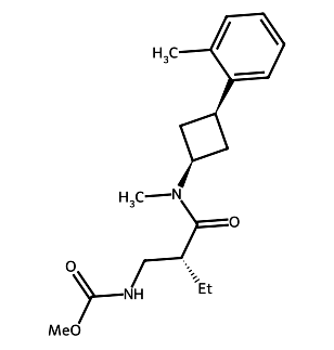 CC[C@H](CNC(=O)OC)C(=O)N(C)[C@H]1C[C@@H](c2ccccc2C)C1